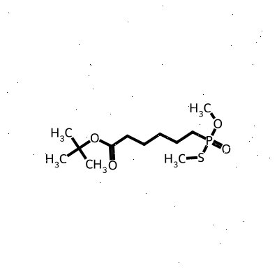 COP(=O)(CCCCCC(=O)OC(C)(C)C)SC